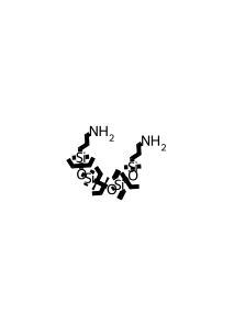 C=C[Si](C=C)(O[C@](C)(CC)[C@@](C)(CC)[Si](C)(C)OC(CC)(CC)[Si](C)(C)CCCN)C(C)(CC)O[Si](C)(C)CCCN